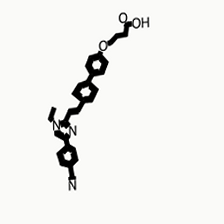 CCn1cc(-c2ccc(C#N)cc2)nc1C=Cc1ccc(-c2ccc(OCCCC(=O)O)cc2)cc1